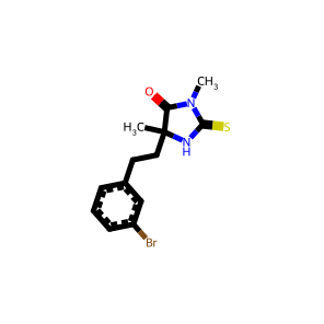 CN1C(=O)C(C)(CCc2cccc(Br)c2)NC1=S